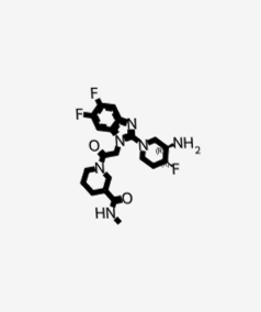 CNC(=O)C1CCCN(C(=O)Cn2c(N3CC[C@@H](F)[C@H](N)C3)nc3cc(F)c(F)cc32)C1